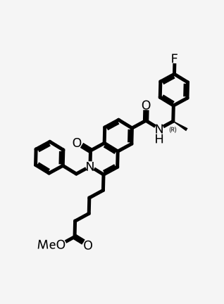 COC(=O)CCCCc1cc2cc(C(=O)N[C@H](C)c3ccc(F)cc3)ccc2c(=O)n1Cc1ccccc1